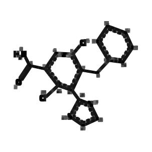 NC(=O)c1cc(Cl)c(Cc2ccccc2)c(-c2nccs2)c1Cl